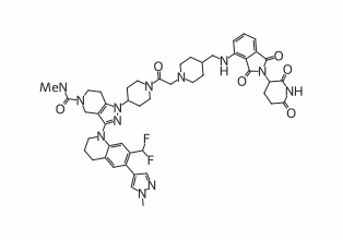 CNC(=O)N1CCc2c(c(N3CCCc4cc(-c5cnn(C)c5)c(C(F)F)cc43)nn2C2CCN(C(=O)CN3CCC(CNc4cccc5c4C(=O)N(C4CCC(=O)NC4=O)C5=O)CC3)CC2)C1